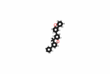 CC1(C)c2cc(-c3ccccc3)ccc2Oc2ccc(-c3ccc4oc5ccccc5c4c3)cc21